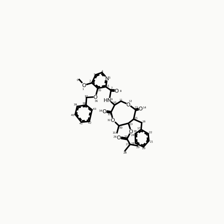 COc1ccnc(C(=O)NC2COC(=O)C(Cc3ccccc3)C(OC(=O)C(C)C)C(C)OC2=O)c1OCc1ccccc1